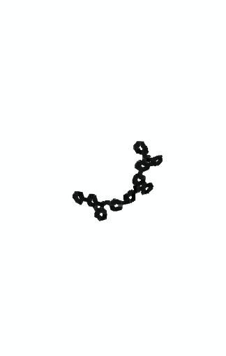 c1ccc(-c2ccc3c(c2)-c2ccccc2C3Cc2cccc(-c3ccc(-n4c5ccccc5c5cc(-c6ccc7c(c6)c6ccccc6n7-c6ccccc6)ccc54)cc3)c2)cc1